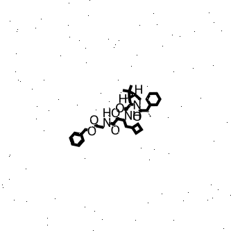 C[C@H](C(=O)N1C[C@H]2[C@@H](C1C(=O)NC(CC1CCC1)C(=O)C(=O)NCC(=O)OCc1ccccc1)C2(C)C)C1CCCCC1